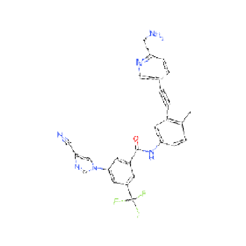 Cc1ccc(NC(=O)c2cc(-n3cnc(C#N)c3)cc(C(F)(F)F)c2)cc1C#Cc1ccc(CN)nc1